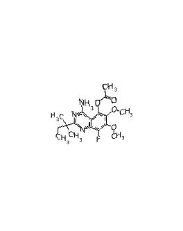 CCC(C)(C)c1nc(N)c2c(OC(C)=O)c(OC)c(OC)c(F)c2n1